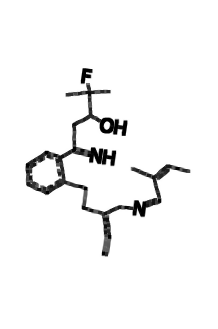 C=C=C(CCc1ccccc1C(=N)CC(O)C(C)(C)F)C/N=C\C(C)=C/C